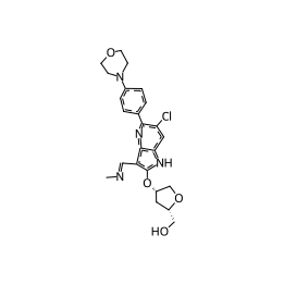 C/N=C/c1c(O[C@@H]2CO[C@H](CO)C2)[nH]c2cc(Cl)c(-c3ccc(N4CCOCC4)cc3)nc12